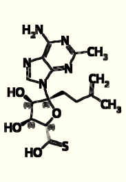 C=C(C)CC[C@@]1(n2cnc3c(N)nc(C)nc32)O[C@H](C(O)=S)[C@@H](O)[C@H]1O